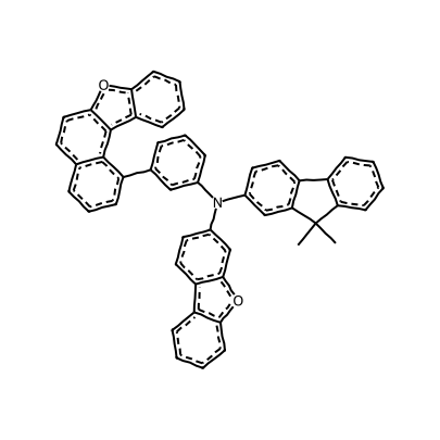 CC1(C)c2ccccc2-c2ccc(N(c3cccc(-c4cccc5ccc6oc7ccccc7c6c45)c3)c3ccc4c(c3)oc3ccccc34)cc21